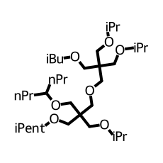 CCCC(C)OCC(COCC(COC(C)C)(COC(C)C)COC(C)CC)(COC(C)C)COC(CCC)CCC